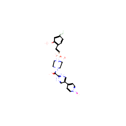 O=C(c1ncc(-c2cc[n+]([O-])cc2)cn1)N1CCN(S(=O)(=O)/C=C/c2ccc(Cl)cc2O)CC1